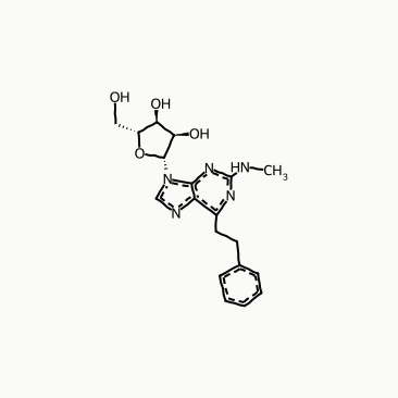 CNc1nc(CCc2ccccc2)c2ncn([C@@H]3O[C@H](CO)[C@@H](O)[C@H]3O)c2n1